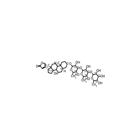 CC1OC(O[C@@H]2[C@H](O)C(O[C@@H]3[C@H](O)C(O[C@H]4CCC5(C)C6CCC7(C)[C@@H](C8=CC(=O)OC8)CC[C@]7(O)C6CC[C@@H]5C4)OC(C)[C@@H]3O)OC(C)[C@@H]2O)[C@@H](O)[C@@H](O)[C@H]1O